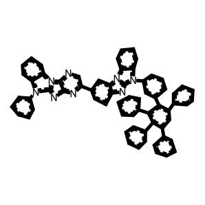 c1ccc(-c2cc(-c3ccccc3)c(-c3cccc(-n4c5ccccc5n5c6cc(-c7cnc8c(n7)nc7n(-c9ccccc9)c9ccccc9n87)ccc6nc45)c3)c(-c3ccccc3)c2-c2ccccc2)cc1